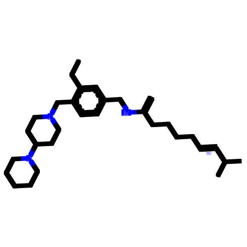 C=C(CCCC/C=C/C(C)C)NCc1ccc(CN2CCC(N3CCCCC3)CC2)c(CC)c1